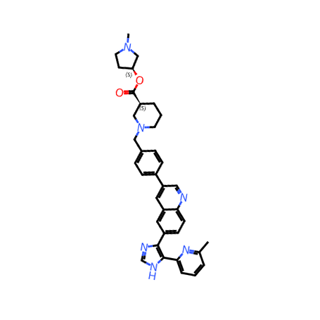 Cc1cccc(-c2[nH]cnc2-c2ccc3ncc(-c4ccc(CN5CCC[C@H](C(=O)O[C@H]6CCN(C)C6)C5)cc4)cc3c2)n1